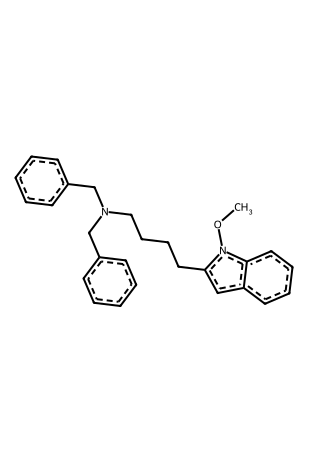 COn1c(CCCCN(Cc2ccccc2)Cc2ccccc2)cc2ccccc21